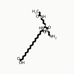 CCC(=O)NCCCC[C@H](NC(=O)CCCCCCCCCCCCCCCCC(=O)O)C(=O)NCCN